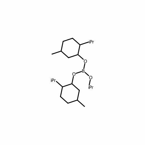 CC1CCC(C(C)C)C(OB(OC(C)C)OC2CC(C)CCC2C(C)C)C1